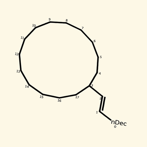 CCCCCCCCCCC=CC1CCCCCCCCCCCCCC1